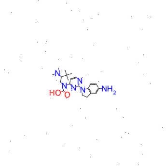 CN(C)C(CN(C(=O)O)c1ccnc(N2CCc3cc(N)ccc32)n1)C(C)(C)C